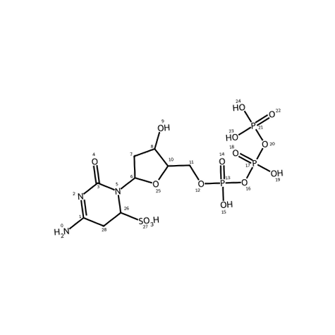 NC1=NC(=O)N(C2CC(O)C(COP(=O)(O)OP(=O)(O)OP(=O)(O)O)O2)C(S(=O)(=O)O)C1